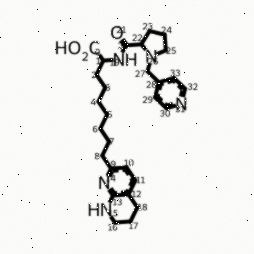 O=C(O)C(CCCCCCCc1ccc2c(n1)NCCC2)NC(=O)C1CCCN1Cc1ccncc1